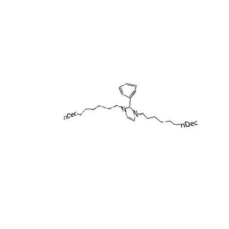 CCCCCCCCCCCCCCCCN1C=CN(CCCCCCCCCCCCCCCC)C1c1ccccc1